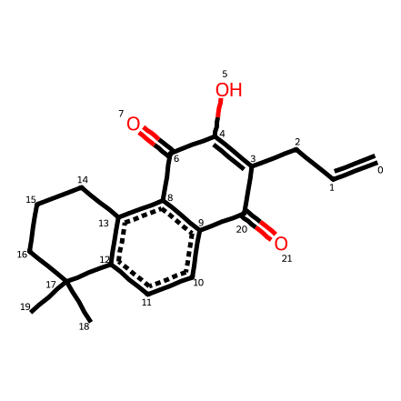 C=CCC1=C(O)C(=O)c2c(ccc3c2CCCC3(C)C)C1=O